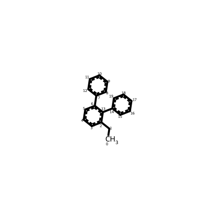 CCc1[c]ccc(-c2ccccc2)c1-c1ccccc1